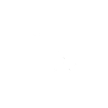 O=C1NCCN1[C@H]1CC[C@@H](C(=O)O)CC1